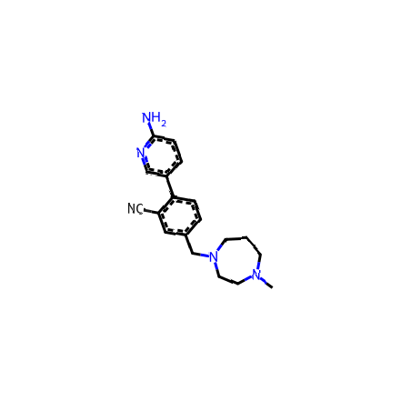 CN1CCCN(Cc2ccc(-c3ccc(N)nc3)c(C#N)c2)CC1